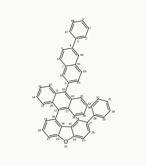 c1ccc(-c2ccc3cc(-c4c5ccccc5c(-c5cccc6oc7ccc(-c8ccccc8)cc7c56)c5ccccc45)ccc3c2)cc1